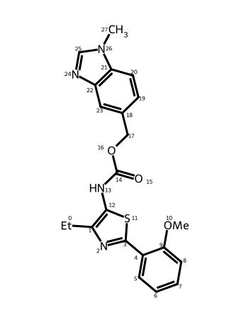 CCc1nc(-c2ccccc2OC)sc1NC(=O)OCc1ccc2c(c1)ncn2C